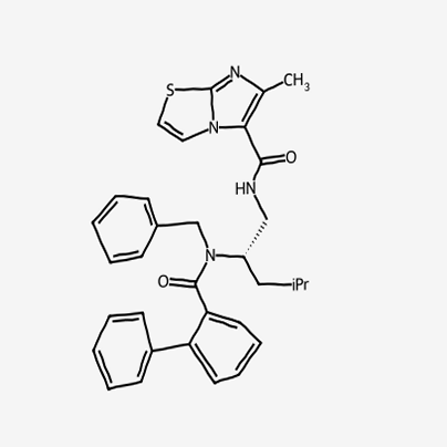 Cc1nc2sccn2c1C(=O)NC[C@H](CC(C)C)N(Cc1ccccc1)C(=O)c1ccccc1-c1ccccc1